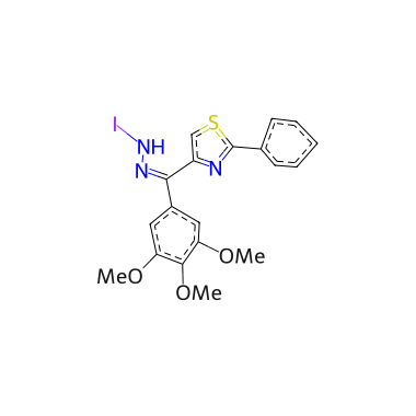 COc1cc(C(=NNI)c2csc(-c3ccccc3)n2)cc(OC)c1OC